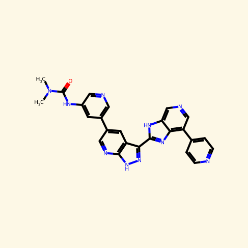 CN(C)C(=O)Nc1cncc(-c2cnc3[nH]nc(-c4nc5c(-c6ccncc6)cncc5[nH]4)c3c2)c1